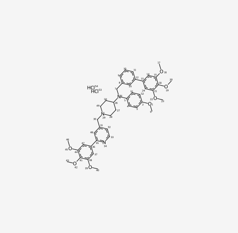 COc1ccc(N(Cc2cccc(-c3cc(OC)c(OC)c(OC)c3)c2)C2CCN(Cc3ccnc(-c4cc(OC)c(OC)c(OC)c4)c3)CC2)cc1.Cl.Cl